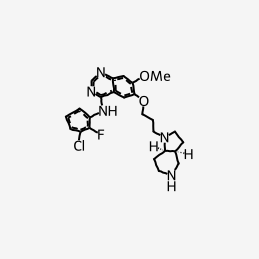 COc1cc2ncnc(Nc3cccc(Cl)c3F)c2cc1OCCCN1CC[C@H]2CNCC[C@H]21